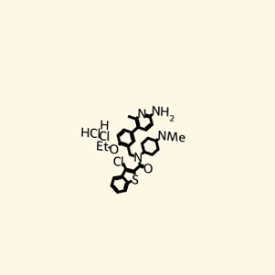 CCOc1ccc(-c2ccc(N)nc2C)cc1CN(C(=O)c1sc2ccccc2c1Cl)C1CCC(NC)CC1.Cl.Cl